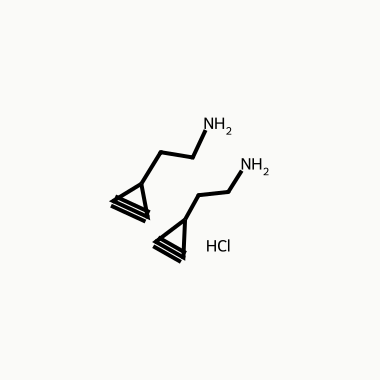 Cl.NCCC1C#C1.NCCC1C#C1